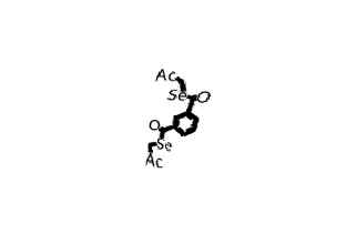 CC(=O)C[Se]C(=O)c1cccc(C(=O)[Se]CC(C)=O)c1